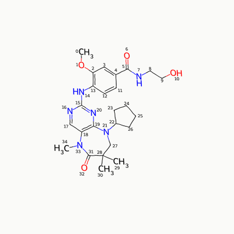 COc1cc(C(=O)NCCO)ccc1Nc1ncc2c(n1)N(C1CCCC1)CC(C)(C)C(=O)N2C